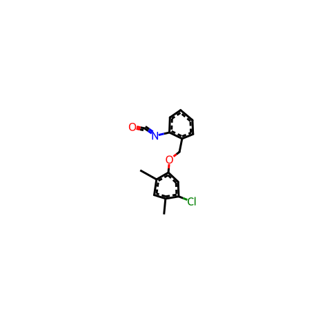 Cc1cc(C)c(OCc2ccccc2N=C=O)cc1Cl